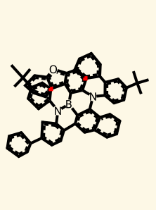 CC(C)(C)c1ccc(N2B3c4c(cc5ccccc5c4N(c4ccc(C(C)(C)C)cc4-c4ccccc4)c4ccc5oc6ccccc6c5c43)-c3ccc(-c4ccccc4)cc32)cc1